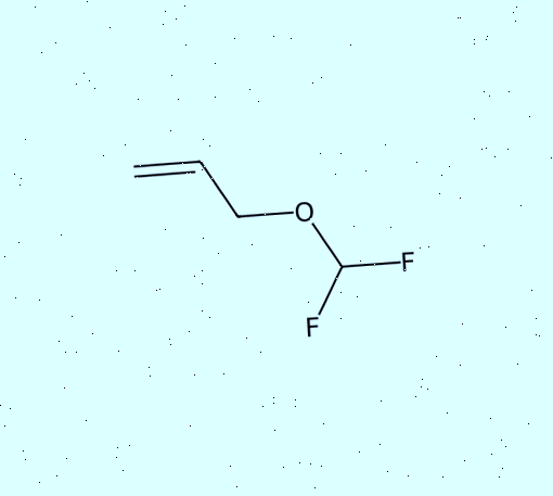 C=CCOC(F)F